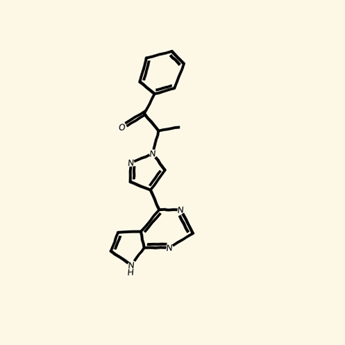 CC(C(=O)c1ccccc1)n1cc(-c2ncnc3[nH]ccc23)cn1